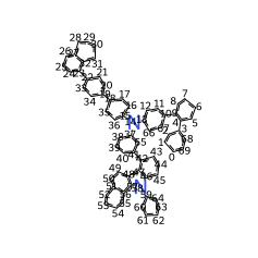 c1ccc(-c2ccccc2-c2ccc(N(c3ccc(-c4ccc(-c5cccc6ccccc56)cc4)cc3)c3cccc(-c4cccc5c4c4ccc6ccccc6c4n5-c4ccccc4)c3)cc2)cc1